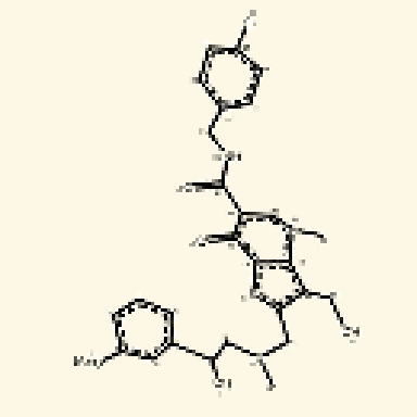 COc1cccc(C(O)CN(C)Cc2sc3c(=O)c(C(=O)NCc4ccc(Cl)cc4)cn(C)c3c2CO)c1